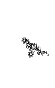 CC(N)C(=O)N[C@H]1CN[C@H](C(=O)N[C@H](CCc2ccccc2)C(=O)Nc2cnc3ccccc3c2)C1